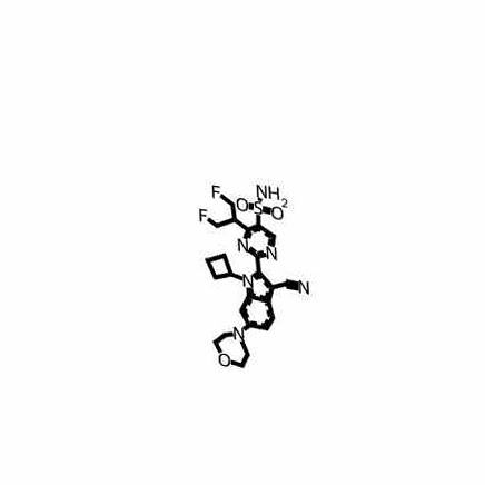 N#Cc1c(-c2ncc(S(N)(=O)=O)c(C(CF)CF)n2)n(C2CCC2)c2cc(N3CCOCC3)ccc12